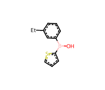 CCc1cccc(B(O)c2cccs2)c1